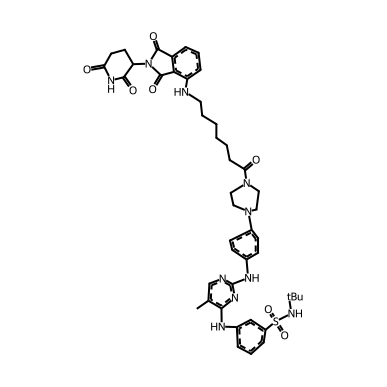 Cc1cnc(Nc2ccc(N3CCN(C(=O)CCCCCCNc4cccc5c4C(=O)N(C4CCC(=O)NC4=O)C5=O)CC3)cc2)nc1Nc1cccc(S(=O)(=O)NC(C)(C)C)c1